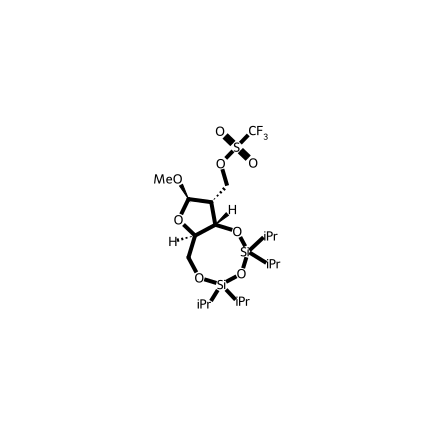 CO[C@@H]1O[C@@H]2CO[Si](C(C)C)(C(C)C)O[Si](C(C)C)(C(C)C)O[C@H]2[C@H]1COS(=O)(=O)C(F)(F)F